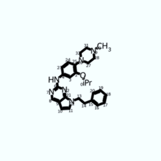 CC(C)Oc1cc(Nc2ncc3ccn(CCc4ccccc4)c3n2)ccc1N1CCN(C)CC1